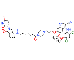 COc1cc(Nc2c(C#N)cnc3cc(OCCCN4CCN(C(=O)CCCCCCNc5cccc6c5CN(C5CCC(=O)NC5=O)C6=O)CC4)c(OC)cc23)c(Cl)cc1Cl